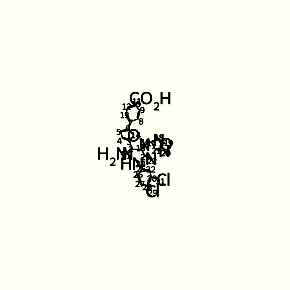 NN=C(c1ccc(-c2ccc(C(=O)O)cc2)o1)c1nc2nonc2nc1Nc1ccc(Cl)c(Cl)c1